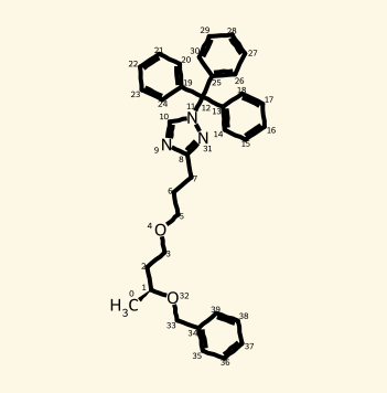 C[C@@H](CCOCCCc1ncn(C(c2ccccc2)(c2ccccc2)c2ccccc2)n1)OCc1ccccc1